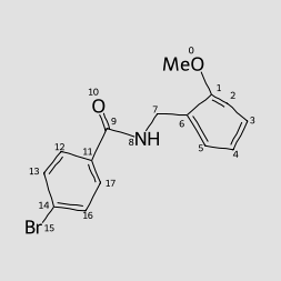 COc1ccccc1CNC(=O)c1ccc(Br)cc1